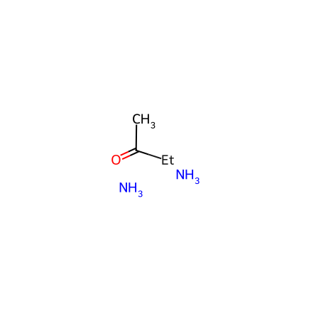 CCC(C)=O.N.N